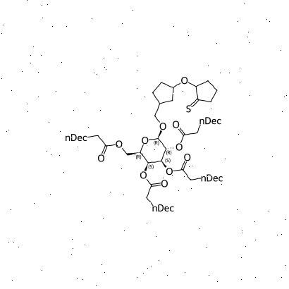 CCCCCCCCCCCC(=O)OC[C@H]1O[C@@H](OCC2CCC(OC3CCCC3=S)C2)[C@H](OC(=O)CCCCCCCCCCC)[C@@H](OC(=O)CCCCCCCCCCC)[C@H]1OC(=O)CCCCCCCCCCC